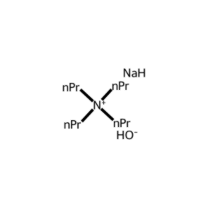 CCC[N+](CCC)(CCC)CCC.[NaH].[OH-]